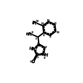 CCCC(c1c[nH]c(=O)[nH]1)c1ccccc1C(C)C